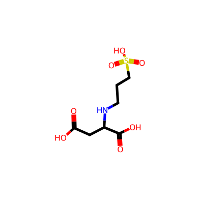 O=C(O)CC(NCCCS(=O)(=O)O)C(=O)O